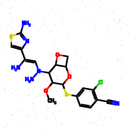 COC1C(Sc2ccc(C#N)c(Cl)c2)OC2COC2C1N(N)/C=C(\N)c1csc(N)n1